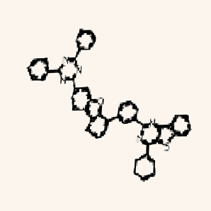 C1=CCCC(c2nc(-c3cccc(-c4cccc5c4oc4cc(-c6nc(-c7ccccc7)nc(-c7ccccc7)n6)ccc45)c3)nc3c2sc2ccccc23)=C1